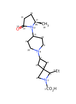 CCC1N(C(=O)O)CC12CC(N1CCC(N3C(=O)CC[C@H]3C)CC1)C2